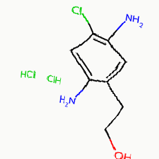 Cl.Cl.Nc1cc(CCO)c(N)cc1Cl